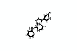 Cn1cc(C2CN=C3C(Nc4ccccn4)=NC=CN32)cn1